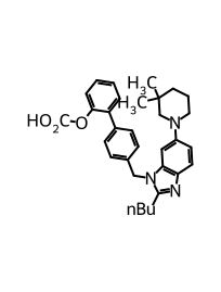 CCCCc1nc2ccc(N3CCCC(C)(C)C3)cc2n1Cc1ccc(-c2ccccc2OC(=O)O)cc1